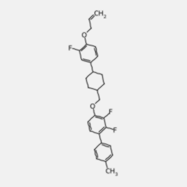 C=CCOc1ccc(C2CCC(COc3ccc(-c4ccc(C)cc4)c(F)c3F)CC2)cc1F